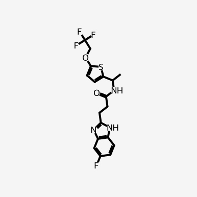 CC(NC(=O)CCc1nc2cc(F)ccc2[nH]1)c1ccc(OCC(F)(F)F)s1